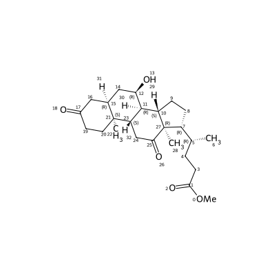 COC(=O)CC[C@@H](C)[C@H]1CC[C@H]2[C@@H]3[C@H](O)C[C@@H]4CC(=O)CC[C@]4(C)[C@H]3CC(=O)[C@]12C